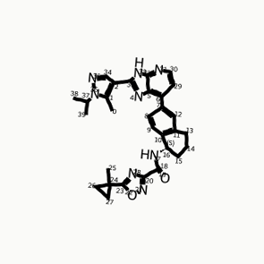 Cc1c(-c2nc3c(-c4ccc5c(c4)CCC[C@@H]5NC(=O)c4noc(C5(C)CC5)n4)ccnc3[nH]2)cnn1C(C)C